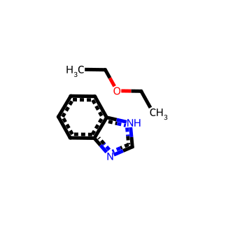 CCOCC.c1ccc2[nH]cnc2c1